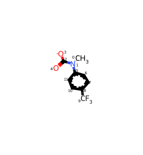 CN(C([O])=O)c1ccc(C(F)(F)F)cc1